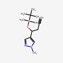 C#CCC(O[Si](C)(C)C(C)(C)C)c1cnn(C)c1